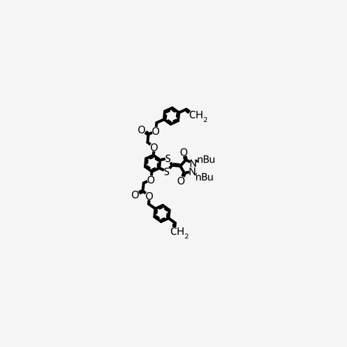 C=Cc1ccc(COC(=O)COc2ccc(OCC(=O)OCc3ccc(C=C)cc3)c3c2SC(=C2C(=O)N(CCCC)N(CCCC)C2=O)S3)cc1